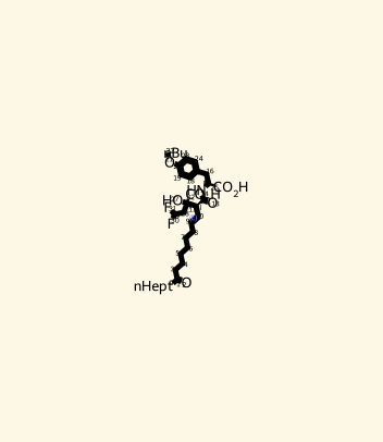 CCCCCCCC(=O)CCCCCC/C=C/[C@H](C(=O)N[C@@H](Cc1ccc(OCCCC)cc1)C(=O)O)[C@@](O)(CC(F)F)C(=O)O